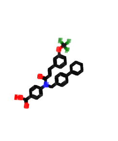 O=C(O)c1ccc(N(Cc2ccc(C3=CCCCC3)cc2)C(=O)C=Cc2cccc(OC(F)(F)F)c2)cc1